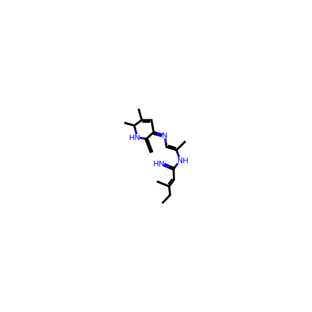 C=C1NC(C)C(C)=C/C1=N/C=C(\C)NC(=N)/C=C(\C)CC